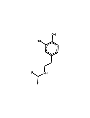 Oc1ccc(CCNC(F)F)cc1O